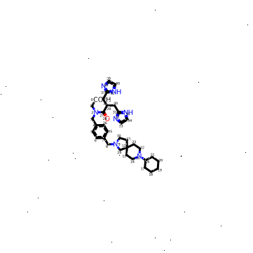 O=C(O)CN(Cc1ccc(CN2CCC3(CCN(C4CCCCC4)CC3)C2)cc1)C(=O)C(Cc1ncc[nH]1)Cc1ncc[nH]1